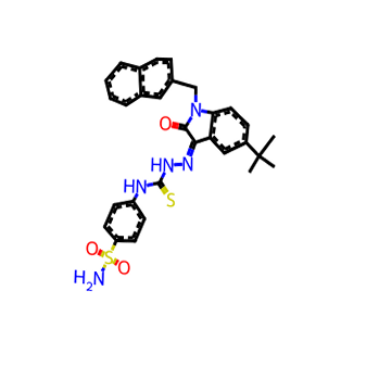 CC(C)(C)c1ccc2c(c1)C(=NNC(=S)Nc1ccc(S(N)(=O)=O)cc1)C(=O)N2Cc1ccc2ccccc2c1